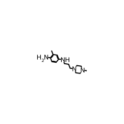 Cc1cc(NCCCN2CCN(C)CC2)ccc1N